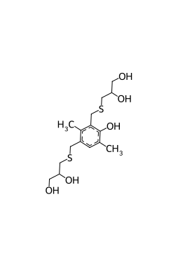 Cc1cc(CSCC(O)CO)c(C)c(CSCC(O)CO)c1O